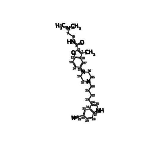 Cc1c(C(=O)NCCN(C)C)oc2ccc(N3CCN(CCCCc4c[nH]c5ccc(C#N)cc45)CC3)cc12